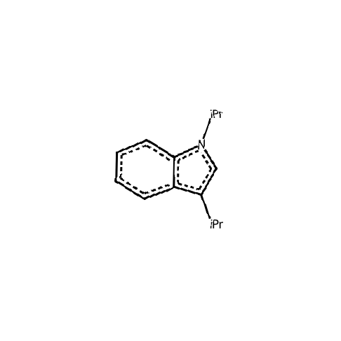 CC(C)c1cn(C(C)C)c2ccccc12